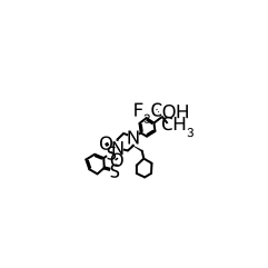 C[C@](O)(c1ccc(N2CCN(S(=O)(=O)C3=CC=CCC3=S)C[C@@H]2CC2CCCCC2)cc1)C(F)(F)F